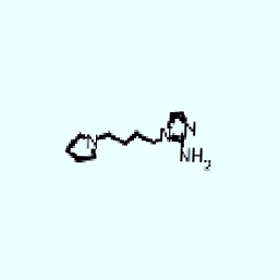 Nc1nccn1CCCCN1CCCC1